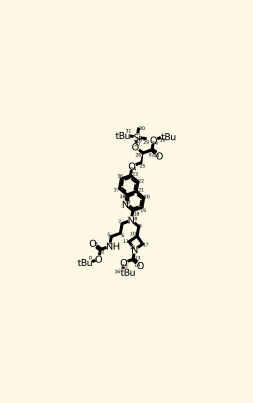 CC(C)(C)OC(=O)NCCCN(CC1CN(C(=O)OC(C)(C)C)C1)c1ccc2cc(OC[C@@H](O[Si](C)(C)C(C)(C)C)C(=O)OC(C)(C)C)ccc2n1